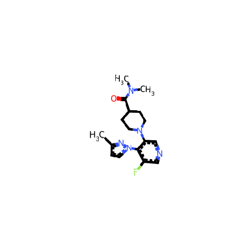 Cc1ccn(-c2c(F)cncc2N2CCC(C(=O)N(C)C)CC2)n1